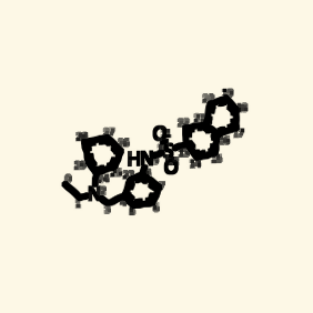 CCN(Cc1cccc(NS(=O)(=O)c2ccc3ccccc3c2)c1)c1ccccc1